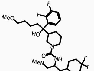 CNCC(CC1CCC(F)(F)CC1)NC(=O)N1CCCC(C(O)(CCCCOC)c2cccc(F)c2F)C1